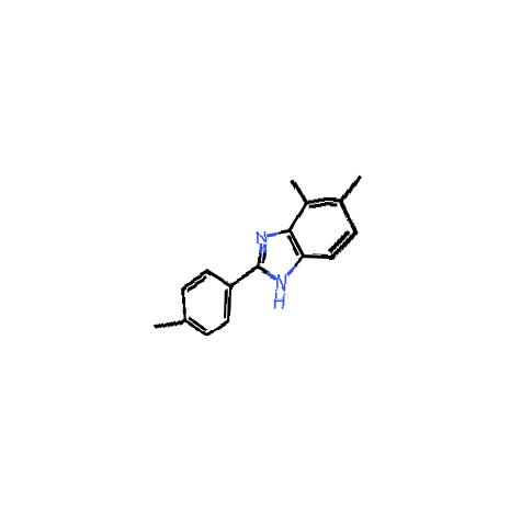 Cc1ccc(-c2nc3c(C)c(C)ccc3[nH]2)cc1